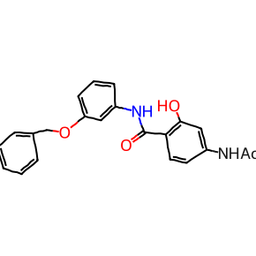 CC(=O)Nc1ccc(C(=O)Nc2cccc(OCc3ccccc3)c2)c(O)c1